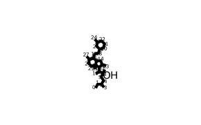 CCC(C)CCC(C)(O)C(C)C1C(C)CC2C(CCC3CCCC(C)C3)C(C)CCC21C